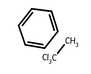 CC(Cl)(Cl)Cl.c1ccccc1